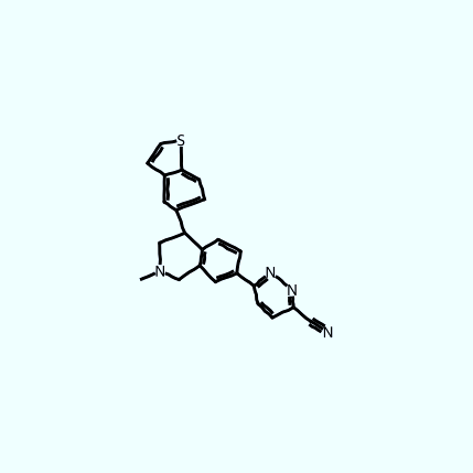 CN1Cc2cc(-c3ccc(C#N)nn3)ccc2C(c2ccc3sccc3c2)C1